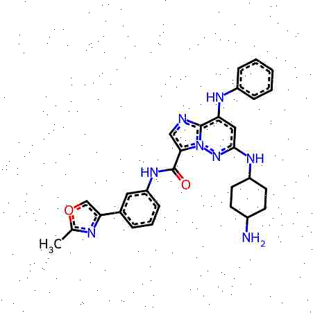 Cc1nc(-c2cccc(NC(=O)c3cnc4c(Nc5ccccc5)cc(NC5CCC(N)CC5)nn34)c2)co1